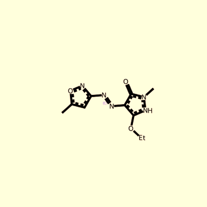 CCOc1[nH]n(C)c(=O)c1/N=N/c1cc(C)on1